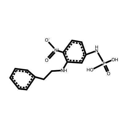 O=[N+]([O-])c1ccc(NP(=O)(O)O)cc1NCCc1ccccc1